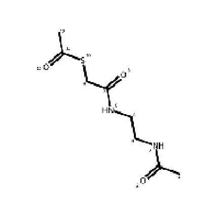 CC(=O)NCCNC(=O)CSC(C)=O